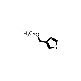 COCc1[c]scc1